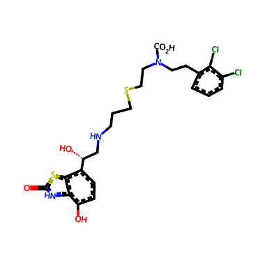 O=C(O)N(CCSCCCNC[C@@H](O)c1ccc(O)c2[nH]c(=O)sc12)CCc1cccc(Cl)c1Cl